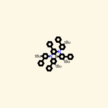 CC(C)(C)c1ccc(N2c3cc(-c4ccccc4)c(C(C)(C)C)cc3B3c4cc(C(C)(C)C)c(-c5ccccc5)cc4N(c4ccc(C(C)(C)C)c(-c5ccccc5)c4)c4cc(-c5ccccc5)cc2c43)cc1-c1ccccc1